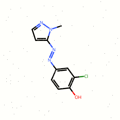 Cn1nccc1N=Nc1ccc(O)c(Cl)c1